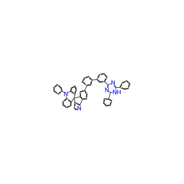 c1ccc(C2=NC(c3cccc(-c4cccc(-c5ccc6c(c5)C5(c7ccccc7N(c7ccccc7)c7ccccc75)c5cccnc5-6)c4)c3)=NC(c3ccccc3)N2)cc1